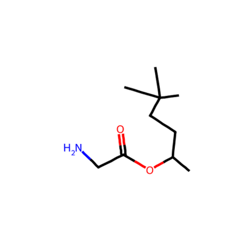 CC(CCC(C)(C)C)OC(=O)CN